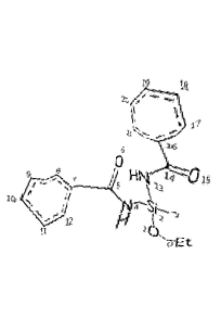 CCO[Si](C)(NC(=O)c1ccccc1)NC(=O)c1ccccc1